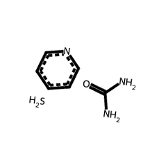 NC(N)=O.S.c1ccncc1